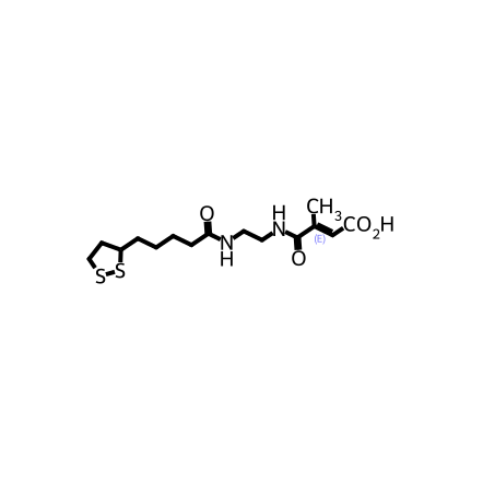 C/C(=C\C(=O)O)C(=O)NCCNC(=O)CCCCC1CCSS1